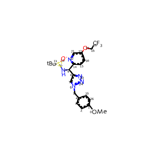 COc1ccc(Cn2cc([C@@H](N[S@+]([O-])C(C)(C)C)c3ccc(OCC(F)(F)F)cn3)nn2)cc1